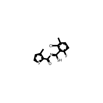 Cc1ccsc1C(=O)N=C(S)c1c(F)ccc(C)c1Cl